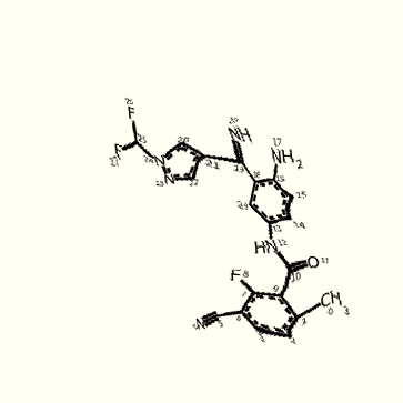 Cc1ccc(C#N)c(F)c1C(=O)Nc1ccc(N)c(C(=N)c2cnn(C(F)F)c2)c1